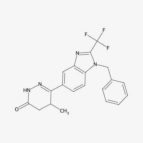 CC1CC(=O)NN=C1c1ccc2c(c1)nc(C(F)(F)F)n2Cc1ccccc1